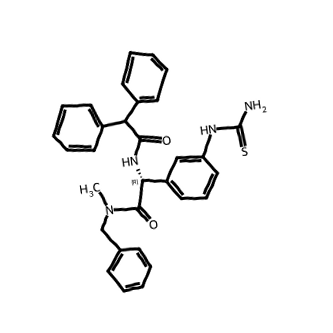 CN(Cc1ccccc1)C(=O)[C@H](NC(=O)C(c1ccccc1)c1ccccc1)c1cccc(NC(N)=S)c1